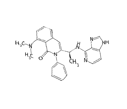 C[C@H](Nc1nccc2[nH]cnc12)c1cc2cccc(N(C)C)c2c(=O)n1-c1ccccc1